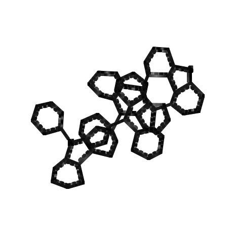 c1ccc(-c2c3ccccc3c(-c3cccc4sc5cccc(-c6c7ccccc7c(-c7ccc8c9ccccc9n(-c9ccccc9)c8c7)c7ccccc67)c5c34)c3ccccc23)cc1